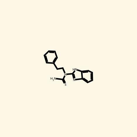 NC(=S)N(CCc1ccccc1)c1nc2ccccc2[nH]1